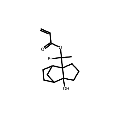 C=CC(=O)OC(C)(CC)C12CCCC1(O)C1CCC2C1